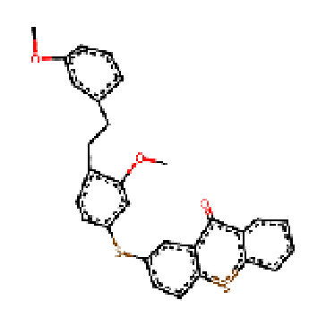 COc1cccc(CCc2ccc(Sc3ccc4sc5ccccc5c(=O)c4c3)cc2OC)c1